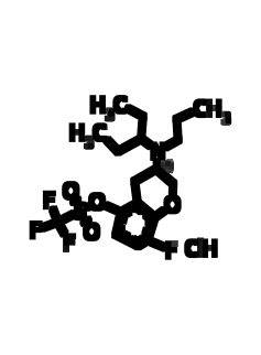 CCCN(C(CC)CC)[C@H]1COc2c(F)ccc(OS(=O)(=O)C(F)(F)F)c2C1.Cl